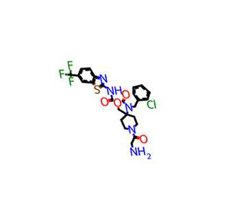 NCC(=O)N1CCC(COC(=O)Nc2nc3ccc(C(F)(F)F)cc3s2)(N(C=O)Cc2ccccc2Cl)CC1